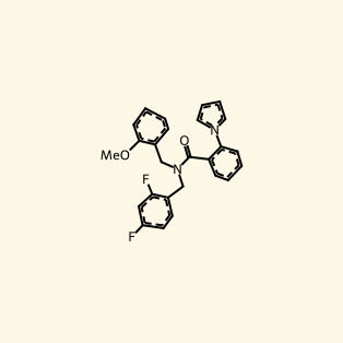 COc1ccccc1CN(Cc1ccc(F)cc1F)C(=O)c1ccccc1-n1cccc1